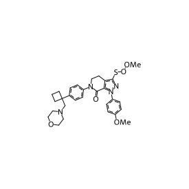 COOSc1nn(-c2ccc(OC)cc2)c2c1CCN(c1ccc(C3(CN4CCOCC4)CCC3)cc1)C2=O